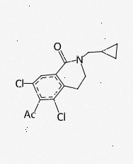 CC(=O)c1c(Cl)cc2c(c1Cl)CCN(CC1CC1)C2=O